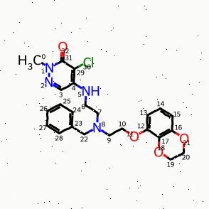 Cn1ncc(NCCN(CCOc2cccc3c2OCCO3)Cc2ccccc2)c(Cl)c1=O